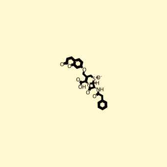 O=C(Cc1ccccc1)N[C@@H]1C(=O)N2C(C(=O)O)=C(COc3ccc4ccc(=O)oc4c3)C[S+]([O-])[C@H]12